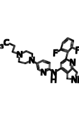 Fc1cccc(F)c1-c1cc(Nc2ccc(N3CCN(CCC(F)(F)F)CC3)cn2)c2c(n1)CNC2